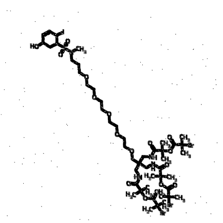 CN(CCCOCCOCCOCCOCCOCC(CNC(=O)C(C)(C)OC(=O)C(C)(C)Br)(CNC(=O)C(C)(C)OC(=O)C(C)(C)Br)CNC(=O)C(C)(C)OC(=O)C(C)(C)Br)S(=O)(=O)C1CC(O)C=CC1I